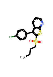 CCCCS(=O)(=O)c1sc2ncccc2c1-c1ccc(Cl)cc1